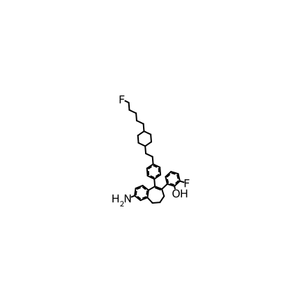 Nc1ccc2c(c1)CCCC(c1cccc(F)c1O)=C2c1ccc(CCC2CCC(CCCCCF)CC2)cc1